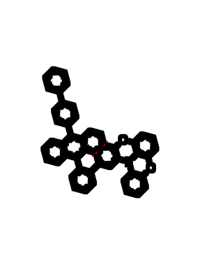 c1ccc(-c2ccc(-c3c4ccccc4c(-c4ccccc4-c4ccc5c(c4)B4c6ccccc6Oc6cccc(c64)O5)c4ccccc34)cc2)cc1